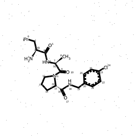 CC(C)C[C@H](N)C(=O)N[C@@H](C)C(=O)N1CCC[C@H]1C(=O)NCc1ccc(Cl)cc1